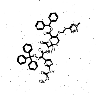 Cn1cc(SCSC2=C(C(=O)OC(c3ccccc3)c3ccccc3)N3C(=O)[C@@H](NC(=O)/C(=N\OC(c4ccccc4)(c4ccccc4)c4ccccc4)c4csc(NC(=O)OC(C)(C)C)n4)[C@H]3SC2)nn1